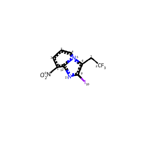 O=[N+]([O-])c1cccn2c(CC(F)(F)F)c(I)nc12